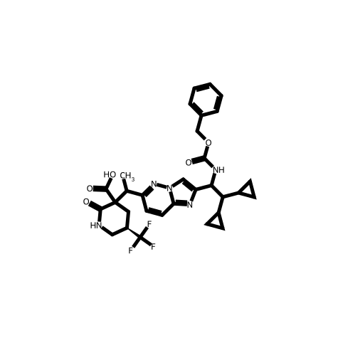 CC(c1ccc2nc(C(NC(=O)OCc3ccccc3)C(C3CC3)C3CC3)cn2n1)C1(C(=O)O)C[C@@H](C(F)(F)F)CNC1=O